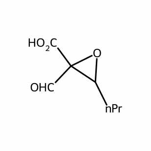 CCCC1OC1(C=O)C(=O)O